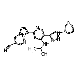 CC(C)Nc1cc(-c2ccc3cc(C#N)cnn23)ncc1-c1cn(-c2cccnc2)nn1